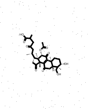 CC(=O)O[C@@H]1C(=O)C2=C(C(=O)C[C@H]3[C@](C)(CO)[C@@H](O)CC[C@]23C)[C@]2(C)C(=O)C[C@H]([C@H](C)CC(=O)CC(C)C(=O)O)[C@@]12C